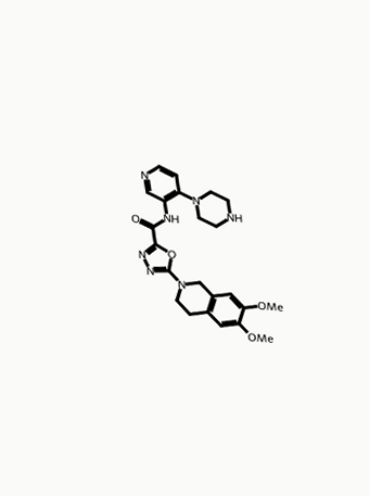 COc1cc2c(cc1OC)CN(c1nnc(C(=O)Nc3cnccc3N3CCNCC3)o1)CC2